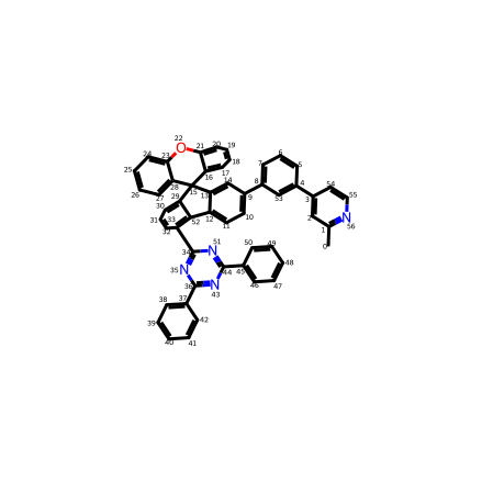 Cc1cc(-c2cccc(-c3ccc4c(c3)C3(c5ccccc5Oc5ccccc53)c3cccc(-c5nc(-c6ccccc6)nc(-c6ccccc6)n5)c3-4)c2)ccn1